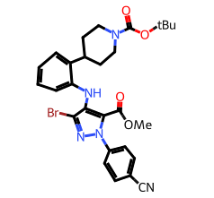 COC(=O)c1c(Nc2ccccc2C2CCN(C(=O)OC(C)(C)C)CC2)c(Br)nn1-c1ccc(C#N)cc1